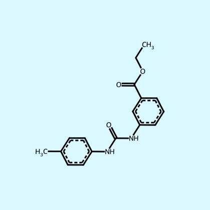 CCOC(=O)c1cccc(NC(=O)Nc2ccc(C)cc2)c1